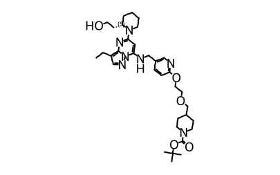 CCc1cnn2c(NCc3ccc(OCCOCC4CCN(C(=O)OC(C)(C)C)CC4)nc3)cc(N3CCCC[C@H]3CCO)nc12